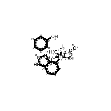 CCC[CH2][Ti+4]([CH3])([CH3])([CH3])([CH3])[c]1cccc2[nH]nnc12.Oc1ccccc1.[O-2].[O-2]